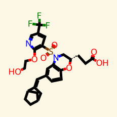 O=C(O)CC[C@H]1CN(S(=O)(=O)c2cc(C(F)(F)F)cnc2OCCO)c2cc(/C=C3\CC4CCC3C4)ccc2O1